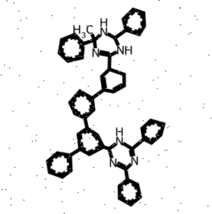 CC1(c2ccccc2)N=C(C2C=C(c3cccc(-c4cc(-c5ccccc5)cc(C5N=C(c6ccccc6)N=C(c6ccccc6)N5)c4)c3)C=CC2)NC(c2ccccc2)N1